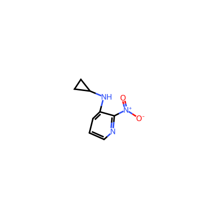 O=[N+]([O-])c1ncccc1NC1CC1